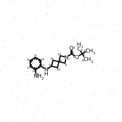 CC(C)(C)OC(=O)N1CC2(CC(Nc3ccccc3N)C2)C1